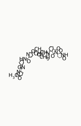 Cn1nc(-c2nc3cc(NC(=O)c4ccc(OC(C)(C)COC(C)(C)CCNc5cccc6c5C(=O)N(C5CCC(=O)NC5=O)C6=O)cn4)ccc3o2)ccc1=O